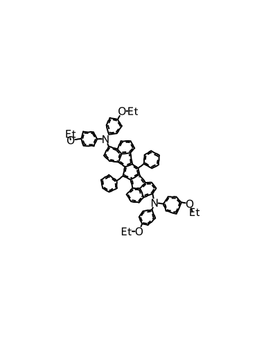 CCOc1ccc(N(c2ccc(OCC)cc2)c2ccc3c4c(-c5ccccc5)c5c6cccc7c(N(c8ccc(OCC)cc8)c8ccc(OCC)cc8)ccc(c5c(-c5ccccc5)c4c4cccc2c43)c76)cc1